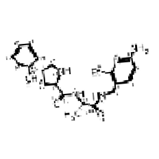 CCc1nc(N)ccc1CNC(=O)[C@H](C)NC(=O)[C@H]1C[C@H](C2(C)C=CC=CC2)CN1